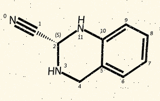 N#C[C@H]1NCc2ccccc2N1